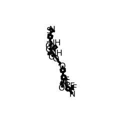 Cc1ncsc1-c1ccc([C@H](C)NC(=O)[C@@H]2CCCN2C(=O)C(NC(=O)COCCCCOc2ccc(-c3ccc(N4C(=S)N(c5ccc(C#N)c(C(F)(F)F)c5)C(=O)C4(C)C)c(F)c3)cc2)C(C)(C)C)cc1